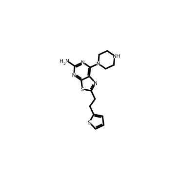 Nc1nc(N2CCNCC2)c2nc(CCc3cccs3)sc2n1